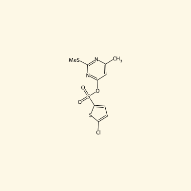 CSc1nc(C)cc(OS(=O)(=O)c2ccc(Cl)s2)n1